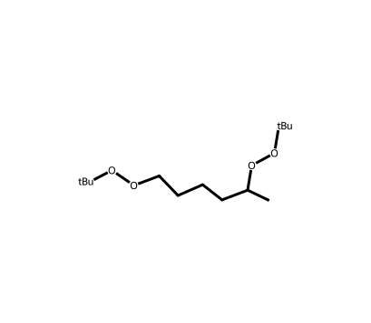 CC(CCCCOOC(C)(C)C)OOC(C)(C)C